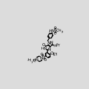 CCCc1nn(Cc2ccc(NS(C)(=O)=O)cc2)c2c(=O)[nH]c(-c3cc(S(=O)(=O)N4CCN(C)CC4)ccc3OCC)nc12